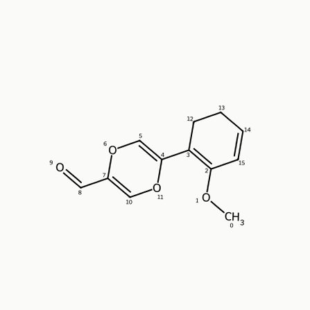 COC1=C(C2=COC(C=O)=CO2)CCC=C1